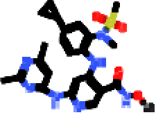 CCONC(=O)c1cnc(Nc2cc(C)nc(C)n2)cc1Nc1ccc(C2CC2)cc1N(C)S(C)(=O)=O